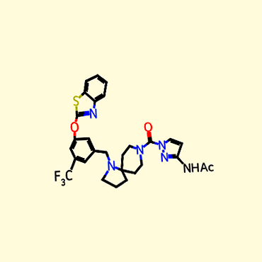 CC(=O)Nc1ccn(C(=O)N2CCC3(CCCN3Cc3cc(Oc4nc5ccccc5s4)cc(C(F)(F)F)c3)CC2)n1